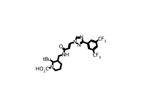 CC(C)(C)C1C(CNC(=O)C=Cn2cnc(-c3cc(C(F)(F)F)cc(C(F)(F)F)c3)n2)CCCN1C(=O)O